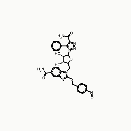 NC(=O)c1ccc2c(c1)nc(SCc1ccc(N=O)cc1)n2CC1OC(n2nnc(C(N)=O)c2-c2ccccc2)[C@H](O)[C@@H]1O